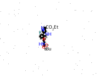 CCOC(=O)c1cnn2ccc(N[C@H](C)c3cc(F)ccc3OCCNC(=O)OC(C)(C)C)cc12